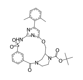 Cc1cccc(C)c1-c1cc2nc(n1)NS(=O)(=O)c1cccc(c1)C(=O)N1CCN(C(=O)OC(C)(C)C)C(CO2)C1